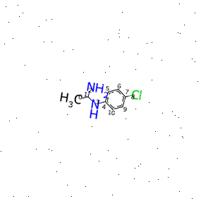 CC(N)Nc1ccc(Cl)cc1